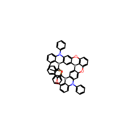 Cc1cccc2c1B(c1sc3ccccc3c1C)c1cc3c(cc1N2c1ccccc1)Oc1cccc2c1B3c1cc3c(cc1O2)N(c1ccccc1)c1cccc2c1B3c1sc3ccccc3c1O2